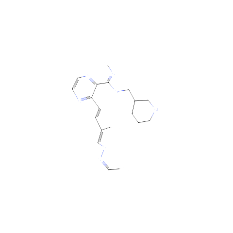 C/C=N\N/C=C(C)/C=C/c1nccnc1/C(=N\C)NCC1CCCNC1